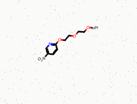 CCCOCCOCCOc1ccc([N+](=O)[O-])cn1